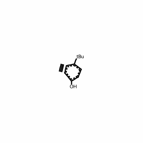 C#C.CC(C)(C)c1ccc(O)cc1